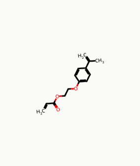 C=CC(=O)OCCOc1ccc(C(=C)C)cc1